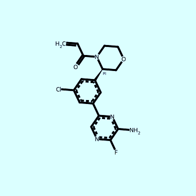 C=CC(=O)N1CCOC[C@H]1c1cc(Cl)cc(-c2cnc(F)c(N)n2)c1